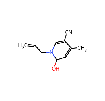 C=CCN1C=C(C#N)C(C)=CC1O